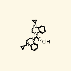 Cl.O=C(N1CCN(C2CC2)c2ccccc21)N1CCN(C2CC2)c2ccccc21